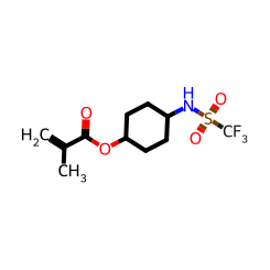 C=C(C)C(=O)OC1CCC(NS(=O)(=O)C(F)(F)F)CC1